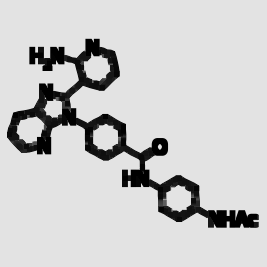 CC(=O)Nc1ccc(NC(=O)c2ccc(-n3c(-c4cccnc4N)nc4cccnc43)cc2)cc1